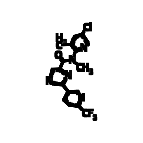 Cc1cc(Cl)cnc1N(C)C(=O)c1cncc(-c2ccc(C(F)(F)F)nc2)n1